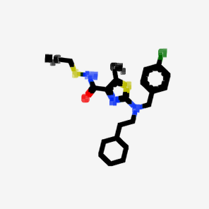 CCSNC(=O)c1nc(N(CCC2CCCCC2)Cc2ccc(Cl)cc2)sc1C